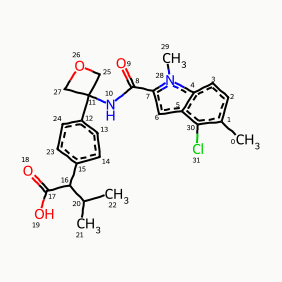 Cc1ccc2c(cc(C(=O)NC3(c4ccc(C(C(=O)O)C(C)C)cc4)COC3)n2C)c1Cl